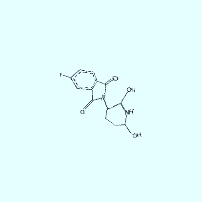 O=C1c2ccc(F)cc2C(=O)N1C1CCC(O)NC1O